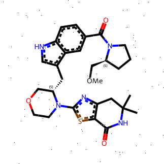 COC[C@@H]1CCCN1C(=O)c1ccc2[nH]cc(C[C@H]3COCCN3c3nc4c(s3)C(=O)NC(C)(C)C4)c2c1